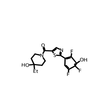 CCC1(O)CCN(C(=O)c2cnc(-c3cc(F)c(F)c(O)c3F)s2)CC1